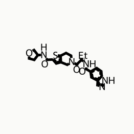 CC[C@@H](NC(=O)c1ccc2[nH]ncc2c1)C(=O)N1CCc2sc(C(=O)NC3CCOC3)cc2C1